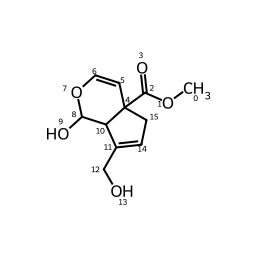 COC(=O)C12C=COC(O)C1C(CO)=CC2